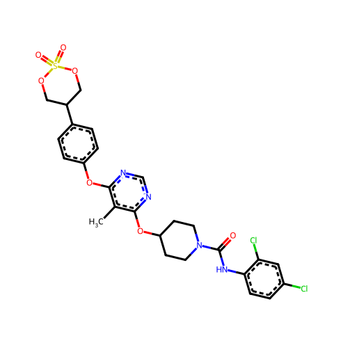 Cc1c(Oc2ccc(C3COS(=O)(=O)OC3)cc2)ncnc1OC1CCN(C(=O)Nc2ccc(Cl)cc2Cl)CC1